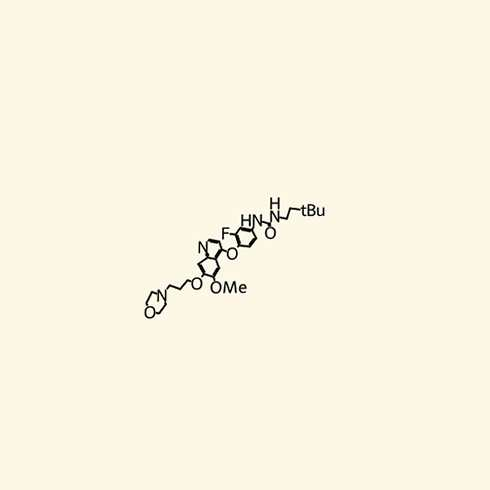 COc1cc2c(Oc3ccc(NC(=O)NCCC(C)(C)C)cc3F)ccnc2cc1OCCCN1CCOCC1